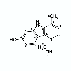 CC1=NCCc2c1[nH]c1cc(O)ccc21.Cl.O